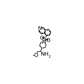 COCC(N)C1CCN(S(=O)(=O)c2cccc3cnccc23)CC1